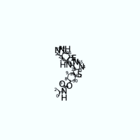 CC(C)NC(=O)OC1CCc2c(sc3ncnc(Nc4cc5cn[nH]c5cc4F)c23)C1